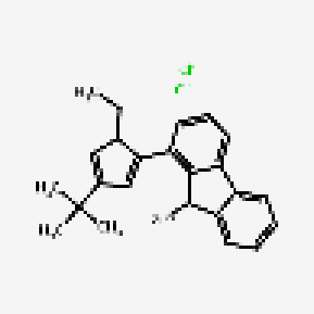 CCC1C=C(C(C)(C)C)C=C1c1cccc2c1[CH]([Zr+2])c1ccccc1-2.[Cl-].[Cl-]